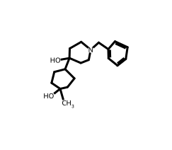 CC1(O)CCC(C2(O)CCN(Cc3ccccc3)CC2)CC1